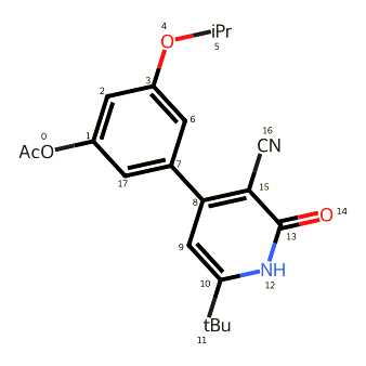 CC(=O)Oc1cc(OC(C)C)cc(-c2cc(C(C)(C)C)[nH]c(=O)c2C#N)c1